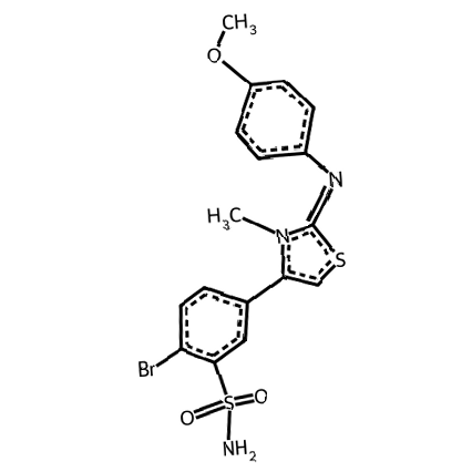 COc1ccc(N=c2scc(-c3ccc(Br)c(S(N)(=O)=O)c3)n2C)cc1